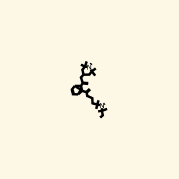 C=C(CCCC(C)(C)N(C)C(C)(C)CC)C1C2C=CC(C2)C1C(=C)CC1CC(C)(C)N(C)C(C)(C)C1